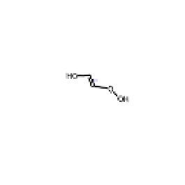 O/C=C/OO